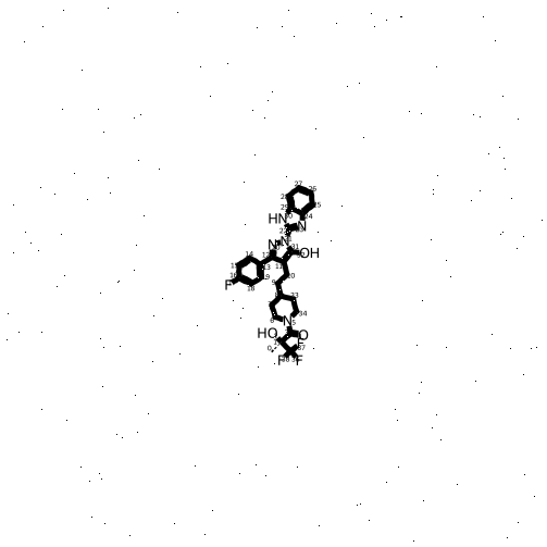 C[C@](O)(C(=O)N1CCC(CCc2c(-c3ccc(F)cc3)nn(-c3nc4ccccc4[nH]3)c2O)CC1)C(F)(F)F